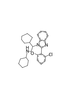 Cc1cccc(Cl)c1-c1nc2ccccc2n1C(C(=O)NC1CCCCC1)C1CCCCC1